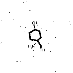 C[C@H]1CC[C@@](N)(CO)CC1